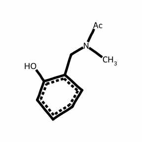 CC(=O)N(C)Cc1ccccc1O